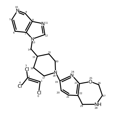 ClC=C(Cl)Cl.c1cc2c(cn1)ncn2CC1CCN(c2ccc3c(n2)OCCNC3)CC1